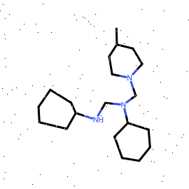 CC1CCN(CN(CNC2CCCCC2)C2CCCCC2)CC1